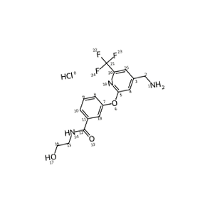 Cl.NCc1cc(Oc2cccc(C(=O)NCCO)c2)nc(C(F)(F)F)c1